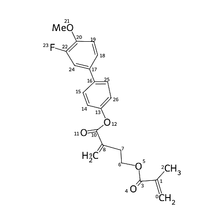 C=C(C)C(=O)OCCC(=C)C(=O)Oc1ccc(-c2ccc(OC)c(F)c2)cc1